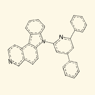 c1ccc(-c2cc(-c3ccccc3)nc(-n3c4ccccc4c4c5ccncc5ccc43)c2)cc1